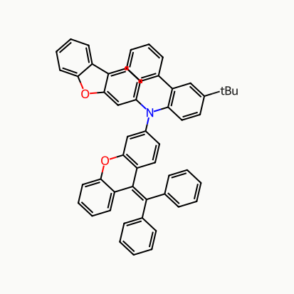 CC(C)(C)c1ccc(N(c2ccc3c(c2)Oc2ccccc2C3=C(c2ccccc2)c2ccccc2)c2ccc3c(c2)oc2ccccc23)c(-c2ccccc2)c1